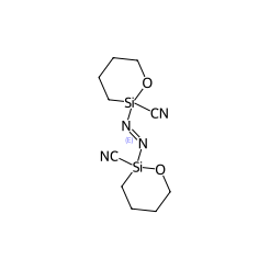 N#C[Si]1(/N=N/[Si]2(C#N)CCCCO2)CCCCO1